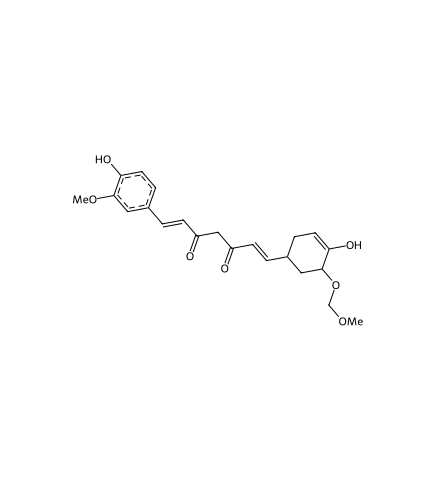 COCOC1CC(C=CC(=O)CC(=O)C=Cc2ccc(O)c(OC)c2)CC=C1O